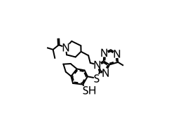 C=C(C(C)C)N1CCC(CCn2c(Sc3cc4c(cc3S)CCC4)nc3c(C)ncnc32)CC1